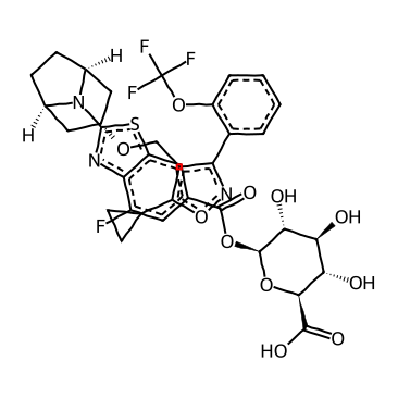 O=C(O[C@@H]1O[C@H](C(=O)O)[C@@H](O)[C@H](O)[C@H]1O)c1cc(F)c2nc(N3[C@@H]4CC[C@H]3C[C@H](OCc3c(-c5ccccc5OC(F)(F)F)noc3C3CC3)C4)sc2c1